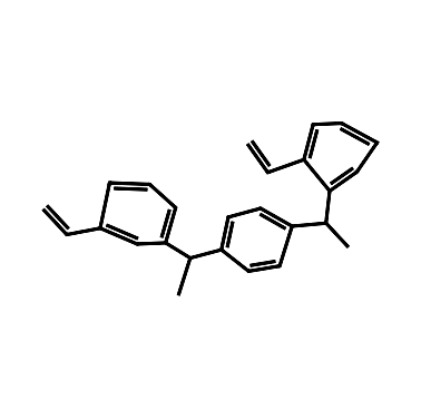 C=Cc1cccc(C(C)c2ccc(C(C)c3ccccc3C=C)cc2)c1